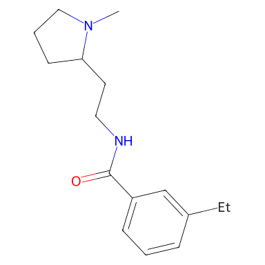 CCc1cccc(C(=O)NCCC2CCCN2C)c1